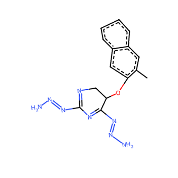 Cc1cc2ccccc2cc1OC1CN=C(N=NN)N=C1N=NN